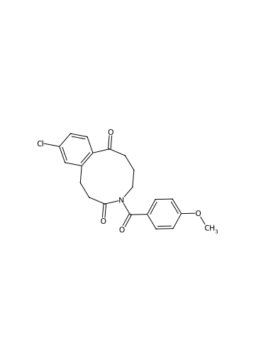 COc1ccc(C(=O)N2CCCC(=O)c3ccc(Cl)cc3CCC2=O)cc1